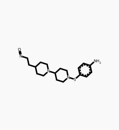 Nc1ccc(SN2CCC(N3CCC(CCN=O)CC3)CC2)cc1